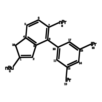 CCCCC1=Cc2c(ccc(CCC)c2-c2cc(C(C)C)cc(C(C)C)c2)[CH]1